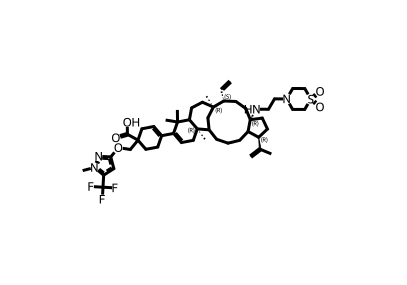 C=C[C@@H]1CC[C@@]2(NCCN3CCS(=O)(=O)CC3)CC[C@@H](C(=C)C)C2CCCC2C[C@@]1(C)CCC1C(C)(C)C(C3=CCC(COc4cc(C(F)(F)F)n(C)n4)(C(=O)O)CC3)=CC[C@]21C